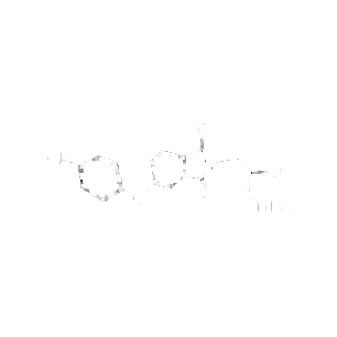 CCCCOC(=O)CN1C(=O)c2ccc(Oc3ccc(Cl)cc3)cc2C1=O